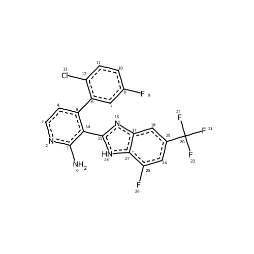 Nc1nccc(-c2cc(F)ccc2Cl)c1-c1nc2cc(C(F)(F)F)cc(F)c2[nH]1